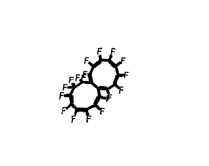 FC1=C(F)C(F)=C(F)C(F)(F)C(F)(F)c2c(F)c(F)c(F)c(F)c(F)c(F)c(F)c(F)c2C(F)=C1F